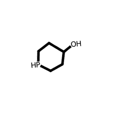 OC1CCPCC1